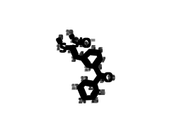 CSC(=Cc1cccc(C(=O)c2ccccc2)c1)[S+](C)[O-]